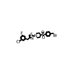 O=S(=O)(c1ccc(CBr)cc1)C1CCN(c2nc(Cc3cc(F)cc(Cl)c3)cs2)CC1